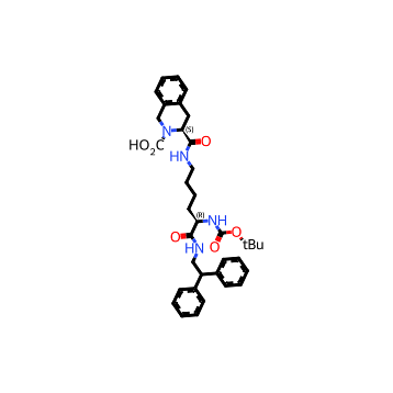 CC(C)(C)OC(=O)N[C@H](CCCCNC(=O)[C@@H]1Cc2ccccc2CN1C(=O)O)C(=O)NCC(c1ccccc1)c1ccccc1